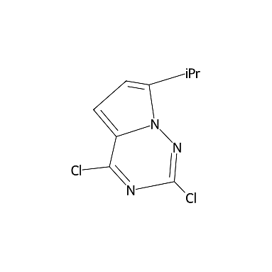 CC(C)c1ccc2c(Cl)nc(Cl)nn12